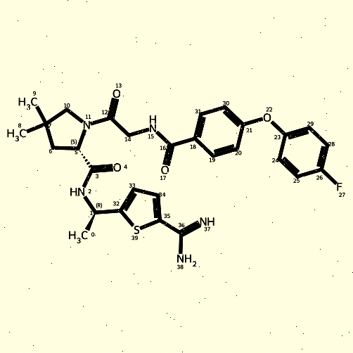 C[C@@H](NC(=O)[C@@H]1CC(C)(C)CN1C(=O)CNC(=O)c1ccc(Oc2ccc(F)cc2)cc1)c1ccc(C(=N)N)s1